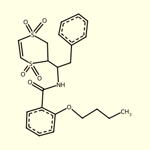 CCCCOc1ccccc1C(=O)NC(Cc1ccccc1)C1CS(=O)(=O)C=CS1(=O)=O